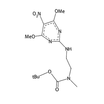 COc1nc(NCCN(C)C(=O)OC(C)(C)C)nc(OC)c1[N+](=O)[O-]